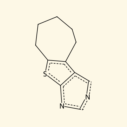 [c]1ncc2c3c(sc2n1)CCCCC3